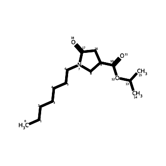 CCCCCCCN1CC(C(=O)OC(C)C)CC1=O